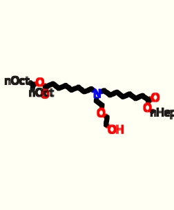 CCCCCCCCC(CCCCCCCC)OC(=O)CCCCCCCN(CCCCCCCC(=O)OCCCCCCC)CCOCCO